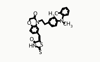 Cc1ccccc1N(C)c1ccc(CCN2C(=O)COc3ccc(C=C4SC(=S)NC4=O)cc32)cc1